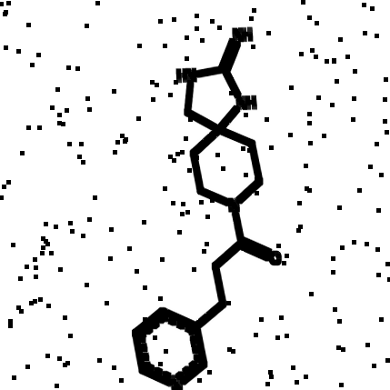 N=C1NCC2(CCN(C(=O)CCc3cccnc3)CC2)N1